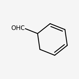 O=CC1C=CC=CC1